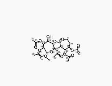 CO[C@H]1OC[C@@H](O[C@H]2OCCC(OC(C)=O)C(OC(C)=O)C2OC(C)=O)C(O)C(OC(C)=O)C1OC(C)=O